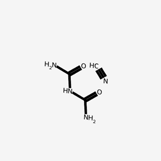 C#N.NC(=O)NC(N)=O